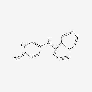 C=C/C=C\C(=C/C)NC1=CC#CC2C=CC=CC12